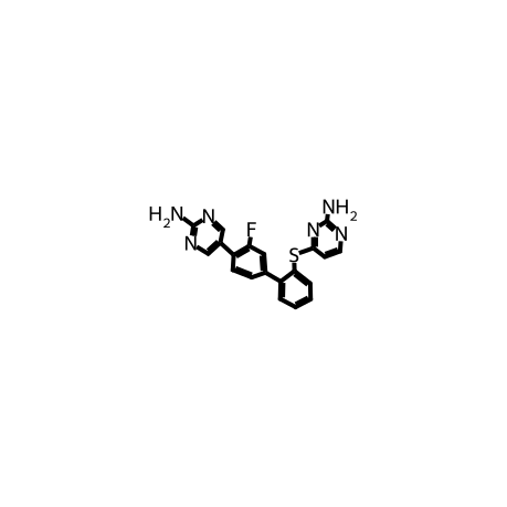 Nc1ncc(-c2ccc(-c3ccccc3Sc3ccnc(N)n3)cc2F)cn1